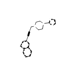 C(#Cc1ccc2ccccc2c1)CN1CCN(c2nccs2)CC1